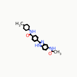 CC(=O)Nc1ccc2[nH]c(-c3ccc(C(=O)NC4CCC(C)CC4)cc3)nc2c1